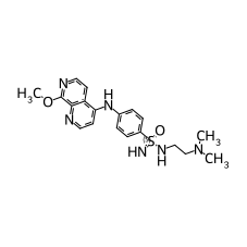 COc1nccc2c(Nc3ccc([S@](=N)(=O)NCCN(C)C)cc3)ccnc12